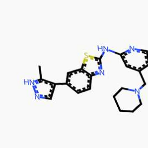 Cc1[nH]ncc1-c1ccc2nc(Nc3cc(CN4CCCCC4)ccn3)sc2c1